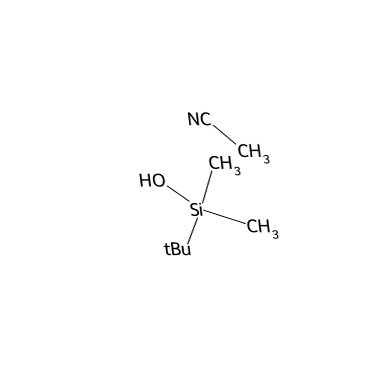 CC#N.CC(C)(C)[Si](C)(C)O